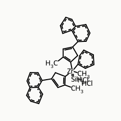 CC1=[C]([Zr]([CH3])(=[SiH2])([C]2=C(C)C=C(c3cccc4ccccc34)C2)[c]2ccccc2)CC(c2cccc3ccccc23)=C1.Cl.Cl